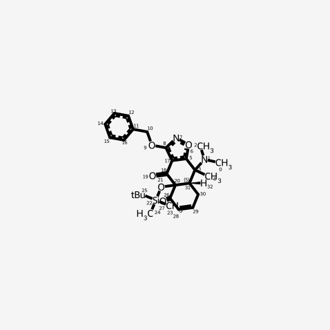 CN(C)C1(C)c2onc(OCc3ccccc3)c2C(=O)C2(O[Si](C)(C)C(C)(C)C)C(=O)C=CC[C@H]21